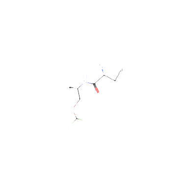 CC(C)C[C@H](N)C(=O)N[C@@H](COC(F)F)C(=O)O.Cl